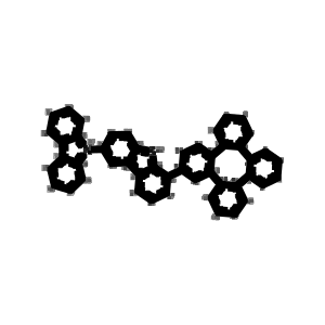 c1ccc2c(c1)-c1ccccc1-c1ccc(-c3cccc4c3sc3ccc(-n5c6ccccc6c6ccccc65)cc34)cc1-c1ccccc1-2